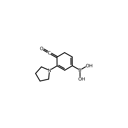 O=C=C1CC=C(B(O)O)C=C1N1CCCC1